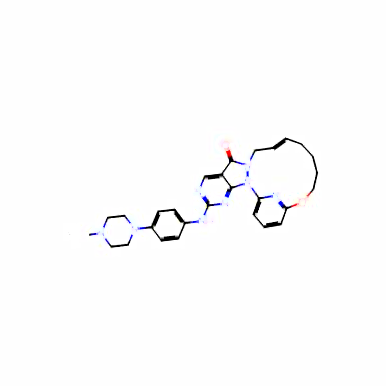 CN1CCN(c2ccc(Nc3ncc4c(=O)n5n(c4n3)-c3cccc(n3)OCCCC/C=C/C5)cc2)CC1